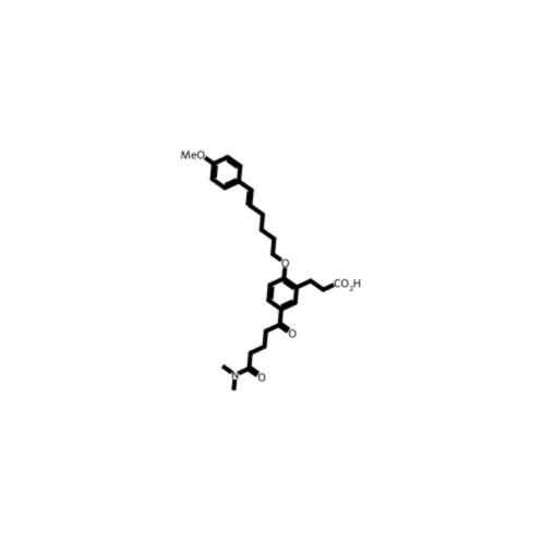 COc1ccc(/C=C/CCCCOc2ccc(C(=O)CCCC(=O)N(C)C)cc2CCC(=O)O)cc1